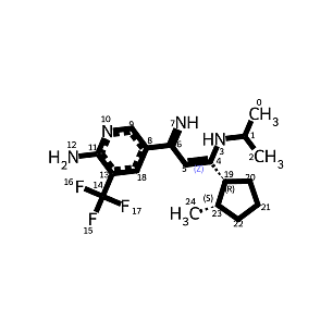 CC(C)N/C(=C\C(=N)c1cnc(N)c(C(F)(F)F)c1)[C@@H]1CCC[C@@H]1C